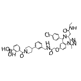 CCNC(=O)C[C@@H]1N=C(c2ccc(Cl)cc2)c2cc(OCC(=O)NCc3cccc(C4CCN(C(=O)c5cccc(B(O)O)c5)CC4)c3)ccc2-n2c(C)nnc21